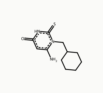 Nc1cc(=O)[nH]c(=S)n1CC1CCCCC1